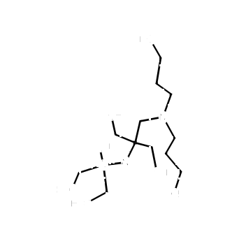 CCCCN(CCCC)CC(CC)(CC)N[Si](C)(CC)CC